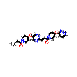 C=CC(=O)N1CCC(Oc2cnc(/C=C/C(=O)N3CCC(Oc4cccnn4)CC3)nc2)CC1